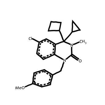 COc1ccc(CN2C(=O)N(C)C(C3CCC3)(C3CC3)c3cc(Cl)ccc32)cc1